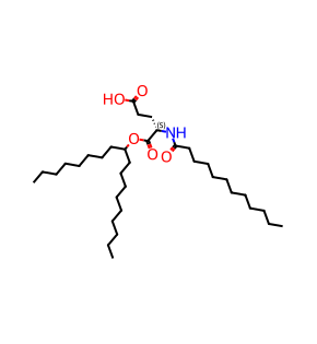 CCCCCCCCCCCC(=O)N[C@@H](CCC(=O)O)C(=O)OC(CCCCCCCC)CCCCCCCCC